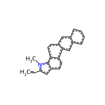 C=Cc1cc2ccc3c4cc5ccccc5cc4ccc3c2n1C